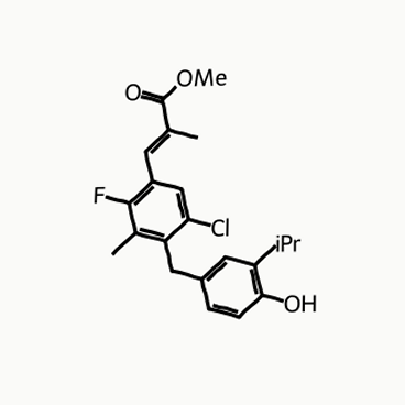 COC(=O)/C(C)=C/c1cc(Cl)c(Cc2ccc(O)c(C(C)C)c2)c(C)c1F